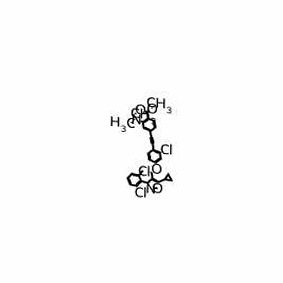 COC(=O)c1ccc(C#Cc2ccc(OCc3c(-c4c(Cl)cccc4Cl)noc3C3CC3)cc2Cl)cc1N(C)C